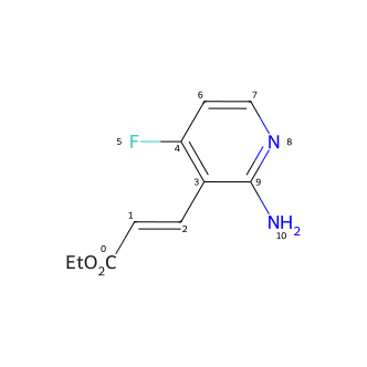 CCOC(=O)/C=C/c1c(F)ccnc1N